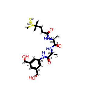 C[C@H](NC(=O)CCC(C)(C)S(C)=S)C(=O)N[C@@H](C)C(=O)Nc1cc(CO)cc(CO)c1